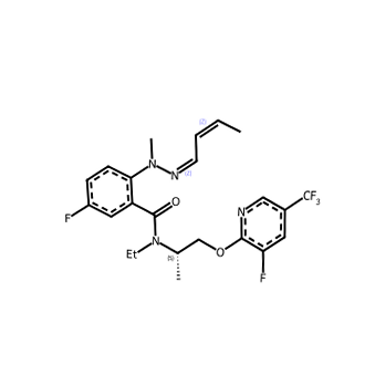 C/C=C\C=N/N(C)c1ccc(F)cc1C(=O)N(CC)[C@@H](C)COc1ncc(C(F)(F)F)cc1F